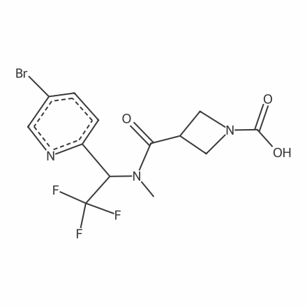 CN(C(=O)C1CN(C(=O)O)C1)C(c1ccc(Br)cn1)C(F)(F)F